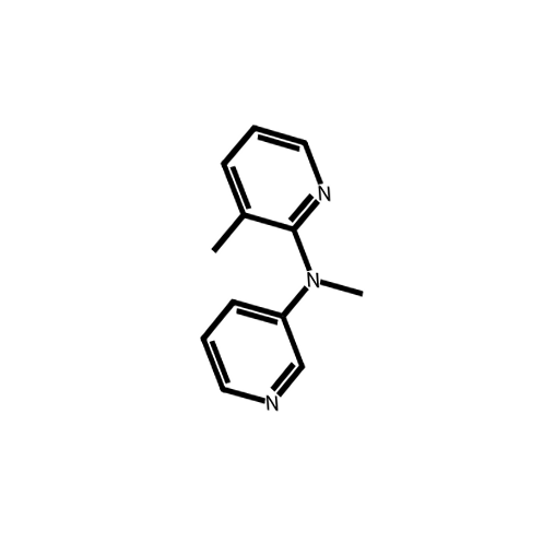 Cc1cccnc1N(C)c1cccnc1